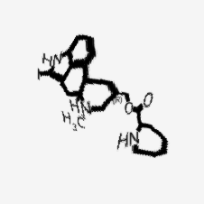 CN1C[C@H](COC(=O)C2CCCCCN2)CC2c3cccc4[nH]c(I)c(c34)C[C@H]21